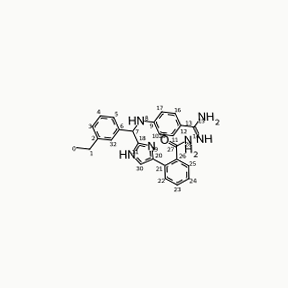 CCc1cccc(C(Nc2ccc(C(=N)N)cc2)c2nc(-c3ccccc3C(N)=O)c[nH]2)c1